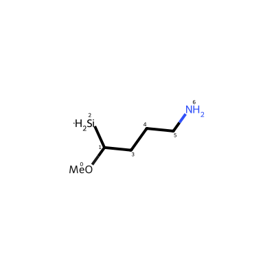 COC([SiH2])CCCN